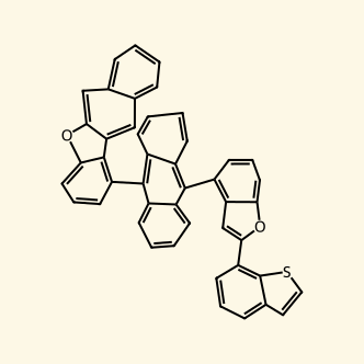 c1ccc2cc3c(cc2c1)oc1cccc(-c2c4ccccc4c(-c4cccc5oc(-c6cccc7ccsc67)cc45)c4ccccc24)c13